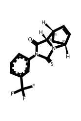 O=C1[C@@H]2[C@@H]3C=C[C@@H](C3)N2C(=S)N1c1cccc(C(F)(F)F)c1